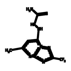 Cc1cc(NNC(N)=S)n2nc(C(F)(F)F)nc2n1